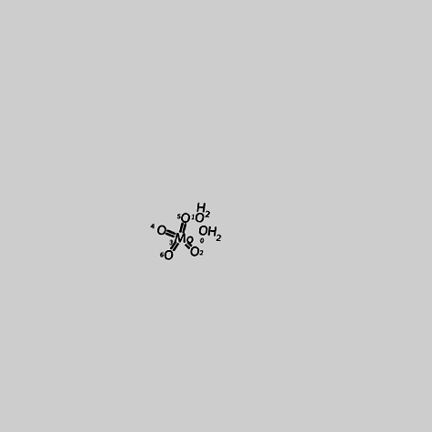 O.O.[O]=[Mo](=[O])(=[O])=[O]